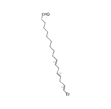 CC/C=C/C/C=C/C/C=C/CCCCCCCCC[C]=O